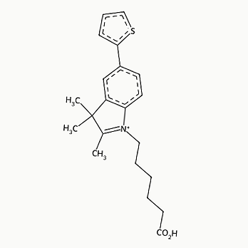 CC1=[N+](CCCCCC(=O)O)c2ccc(-c3cccs3)cc2C1(C)C